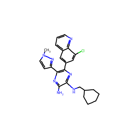 Cn1ccc(-c2nc(N)c(NCC3CCCCC3)nc2-c2cc(Cl)c3ncccc3c2)n1